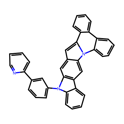 c1ccc(-c2cccc(-n3c4ccccc4c4cc5c(cc43)cc3c4ccccc4c4ccccc4n53)c2)nc1